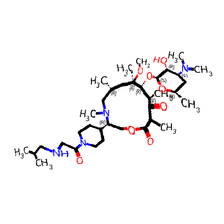 CO[C@]1(C)C[C@@H](C)CN(C)[C@H](C2CCN(C(=O)CNCC(C)C)CC2)COC(=O)C(C)C(=O)[C@H](C)[C@H]1O[C@@H]1O[C@H](C)C[C@H](N(C)C)[C@H]1O